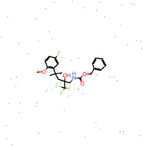 COc1ccc(F)cc1C(C)(C)CC(O)(CNC(=O)OCc1ccccc1)C(F)(F)F